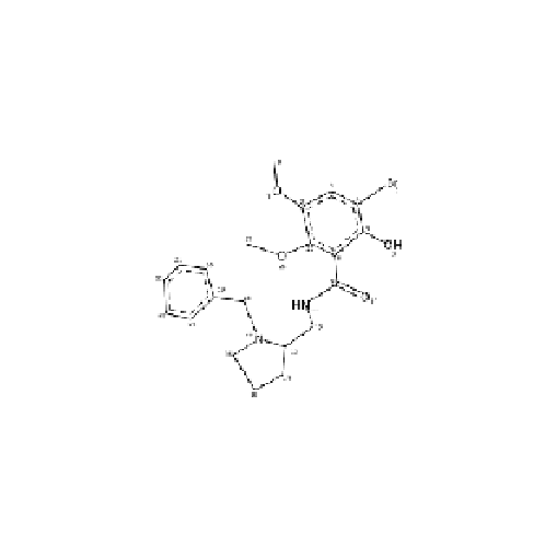 COc1cc(Br)c(O)c(C(=O)NCC2CCCN2Cc2ccccc2)c1OC